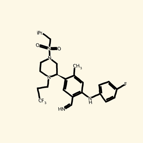 Cc1cc(Nc2ccc(F)cc2)c(C=N)cc1[C@@H]1CN(S(=O)(=O)CC(C)C)CCN1CCC(F)(F)F